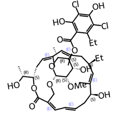 CCc1c(Cl)c(O)c(Cl)c(O)c1C(=O)O[C@H]1[C@H](O)[C@H](OC)[C@H](OC/C2=C\C=C\C[C@H](O)/C(C)=C/[C@H](CC)C/C(C)=C/C(C)=C/C[C@@H]([C@@H](C)O)OC2=O)O[C@@H]1C